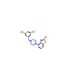 [O]c1nc2c(N3CCN(Cc4cc(Cl)cc(Cl)c4)CC3)cccc2s1